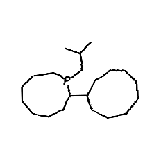 CC(C)CP1CCCCCCCC1C1CCCCCCCC1